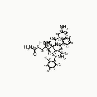 Cc1cc(C)c(CSC(C(=O)C(C)N)C(C(=O)O)(C(=O)C(N)CCC(N)=O)N(Cc2ccccc2)C(=O)C(N)CC(N)=O)c(C)c1